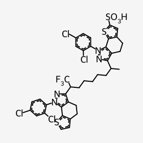 CC(CCCCCC(c1nn(-c2ccc(Cl)cc2Cl)c2c1CCc1ccsc1-2)C(F)(F)F)c1nn(-c2ccc(Cl)cc2Cl)c2c1CCc1cc(S(=O)(=O)O)sc1-2